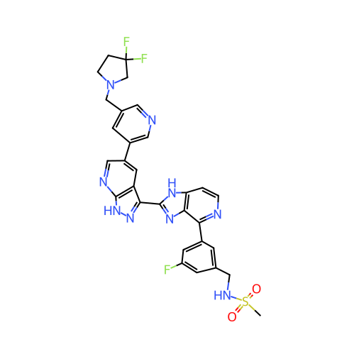 CS(=O)(=O)NCc1cc(F)cc(-c2nccc3[nH]c(-c4n[nH]c5ncc(-c6cncc(CN7CCC(F)(F)C7)c6)cc45)nc23)c1